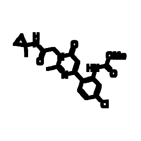 COC(=O)Nc1cc(Cl)ccc1-c1cc(=O)n(CC(=O)NC2(C)CC2)c(C)n1